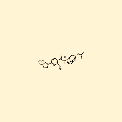 CCCSc1nc(N2CC[C@@H](CC(=O)O)C2)ccc1C(=O)N[C@H]1C2CC3CC1C[C@](OC(F)F)(C3)C2